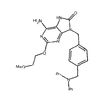 COCCOc1nc(N)c2[nH]c(=O)n(Cc3ccc(CN(C(C)C)C(C)C)cc3)c2n1